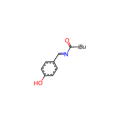 CCC(C)C(=O)/N=C/c1ccc(O)cc1